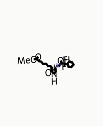 COC(=O)CCCCCCN1C(=O)NC[C@@H]1/C=C/C(O)C(F)(F)c1ccccc1